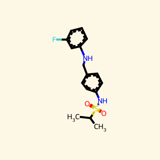 CC(C)S(=O)(=O)Nc1ccc(CNc2cccc(F)c2)cc1